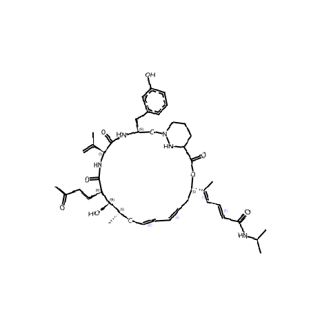 C=C(C)[C@@H]1NC(=O)[C@H](CCC(C)=O)[C@H](O)[C@@H](C)C/C=C/C=C/C[C@@H](/C(C)=C/C=C/C(=O)NC(C)C)OC(=O)C2CCCN(C[C@H](Cc3cccc(O)c3)NC1=O)N2